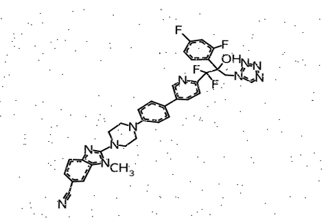 Cn1c(N2CCN(c3ccc(-c4ccc(C(F)(F)C(O)(Cn5cnnn5)c5ccc(F)cc5F)nc4)cc3)CC2)nc2ccc(C#N)cc21